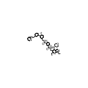 CCc1nc2c(cnn2CC)c(NC2CCOCC2)c1CNC(=O)c1cccc(C(=O)NCc2ccc(F)c(-c3cccc(CNc4ccccn4)c3)c2)c1